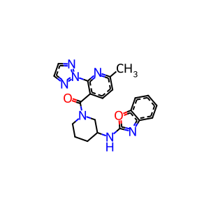 Cc1ccc(C(=O)N2CCCC(Nc3nc4ccccc4o3)C2)c(-n2nccn2)n1